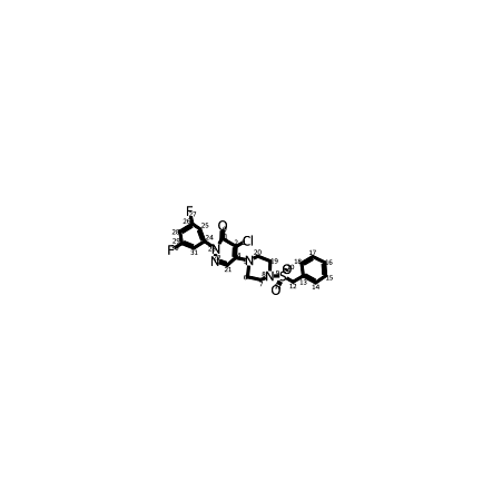 O=c1c(Cl)c(N2CCN(S(=O)(=O)Cc3ccccc3)CC2)cnn1-c1cc(F)cc(F)c1